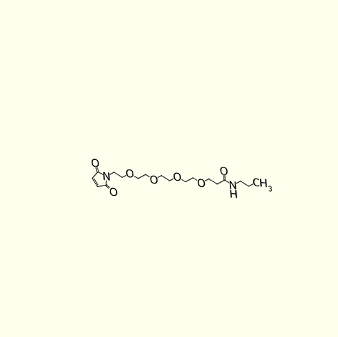 CCCNC(=O)CCOCCOCCOCCOCCN1C(=O)C=CC1=O